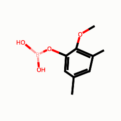 COc1c(C)cc(C)cc1OB(O)O